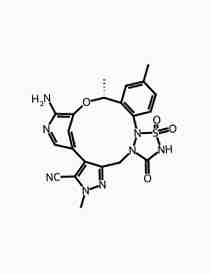 Cc1ccc2c(c1)[C@@H](C)Oc1cc(cnc1N)-c1c(nn(C)c1C#N)CN1C(=O)NS(=O)(=O)N21